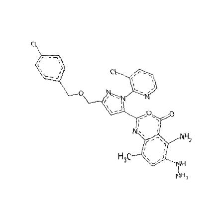 Cc1cc(NN)c(N)c2c(=O)oc(-c3cc(COCc4ccc(Cl)cc4)nn3-c3ncccc3Cl)nc12